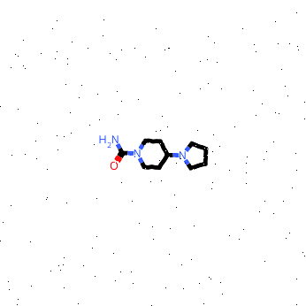 NC(=O)N1CCC(N2CCCC2)CC1